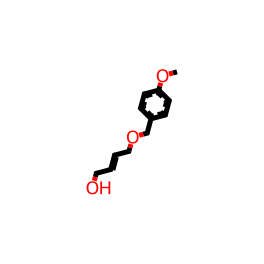 COc1ccc(COCC=CCO)cc1